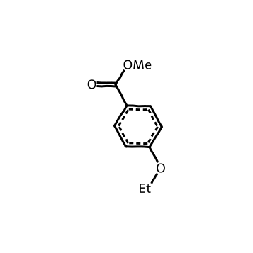 [CH2]OC(=O)c1ccc(OCC)cc1